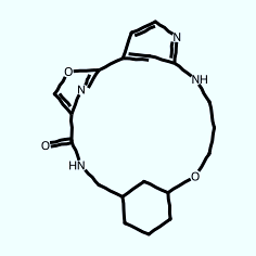 O=C1NCC2CCCC(C2)OCCCNc2cc(ccn2)-c2nc1co2